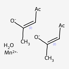 CC(=O)/C=C(/C)[O-].CC(=O)/C=C(/C)[O-].O.[Mn+2]